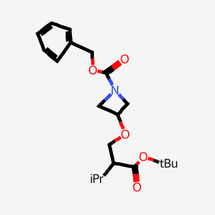 CC(C)C(COC1CN(C(=O)OCc2ccccc2)C1)C(=O)OC(C)(C)C